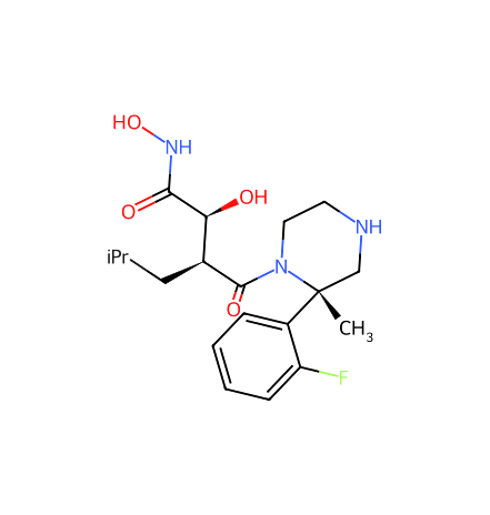 CC(C)C[C@H](C(=O)N1CCNC[C@]1(C)c1ccccc1F)[C@H](O)C(=O)NO